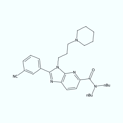 CCCCN(CCCC)C(=O)c1ccc2nc(-c3cccc(C#N)c3)n(CCCN3CCCCC3)c2n1